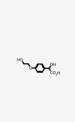 O=C(O)C(O)c1ccc(OCCO)cc1